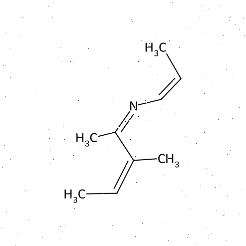 C\C=C/N=C(C)\C(C)=C/C